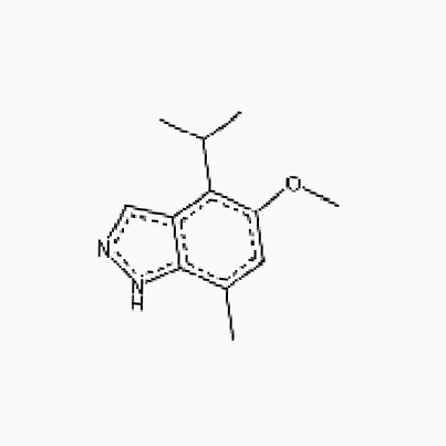 COc1cc(C)c2[nH]ncc2c1C(C)C